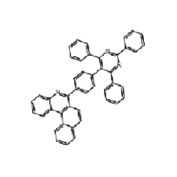 c1ccc(-c2nc(-c3ccccc3)c(-c3ccc(-c4nc5ccccc5c5c4ccc4ccccc45)cc3)c(-c3ccccc3)n2)cc1